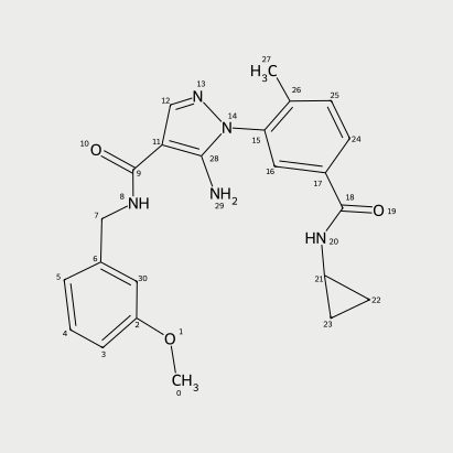 COc1cccc(CNC(=O)c2cnn(-c3cc(C(=O)NC4CC4)ccc3C)c2N)c1